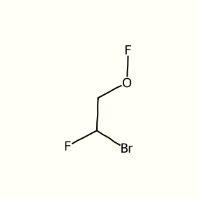 FOCC(F)Br